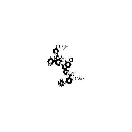 COc1ccc(-n2cnnn2)cc1C(=O)N1CCC(CCN2CCC(NC(=O)N3CCC(C(=O)O)C3)(c3cccnc3)CC2)(c2ccc(Cl)c(Cl)c2)C1